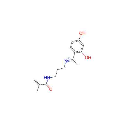 C=C(C)C(=O)NCCC/N=C(\C)c1ccc(O)cc1O